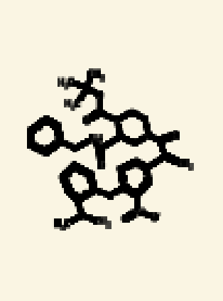 C=C(C(=O)N1CCN(C(=O)OC(C)(C)C)C(C(=O)NCc2ccccc2)C1)c1ccc(Sc2ccccc2C(C)C)c([N+](=O)[O-])c1